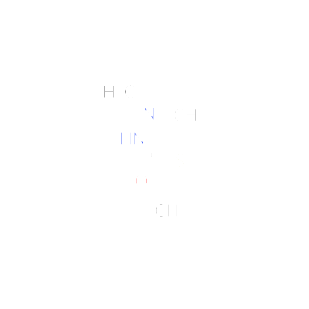 COC(=S)NN(C)C